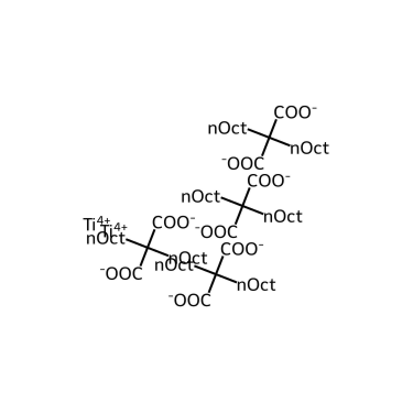 CCCCCCCCC(CCCCCCCC)(C(=O)[O-])C(=O)[O-].CCCCCCCCC(CCCCCCCC)(C(=O)[O-])C(=O)[O-].CCCCCCCCC(CCCCCCCC)(C(=O)[O-])C(=O)[O-].CCCCCCCCC(CCCCCCCC)(C(=O)[O-])C(=O)[O-].[Ti+4].[Ti+4]